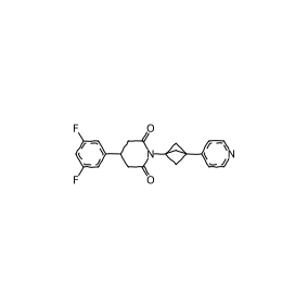 O=C1CC(c2cc(F)cc(F)c2)CC(=O)N1C12CC(c3ccncc3)(C1)C2